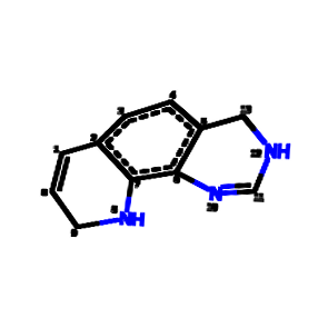 C1=Cc2ccc3c(c2NC1)N=CNC3